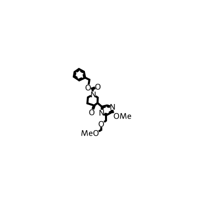 COCOCc1nc(C2CN(C(=O)OCc3ccccc3)CCC2=O)cnc1OC